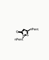 CCCCCc1cc(=O)n(CCCCC)s1